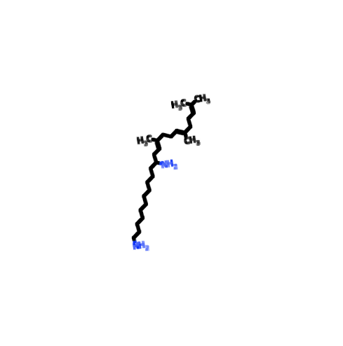 CC(C)=CCCC(C)=CCCC(C)=CCC(N)CCCCCCCCCCCN